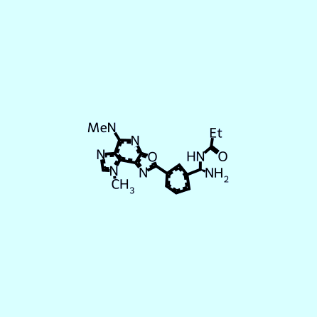 CCC(=O)N[C@@H](N)c1cccc(-c2nc3c(nc(NC)c4ncn(C)c43)o2)c1